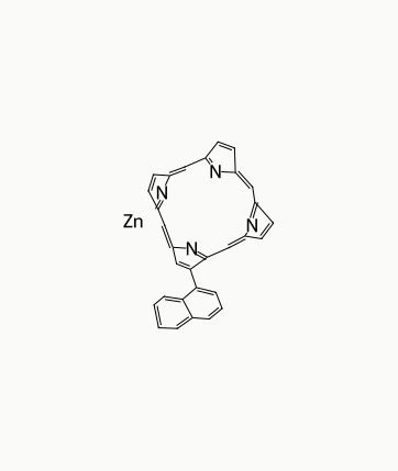 C1=CC2=NC1=CC1=NC(=CC3=NC(=CC4=NC(=C2)C=C4)C=C3c2cccc3ccccc23)C=C1.[Zn]